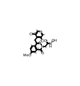 COc1ccc2c(Cc3c(Cl)cncc3Cl)nn(CC(=O)NO)c(=O)c2c1